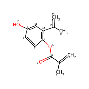 C=C(C)C(=O)Oc1ccc(O)cc1C(=C)C